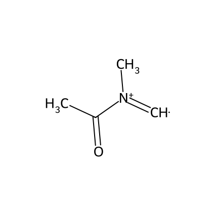 [CH]=[N+](C)C(C)=O